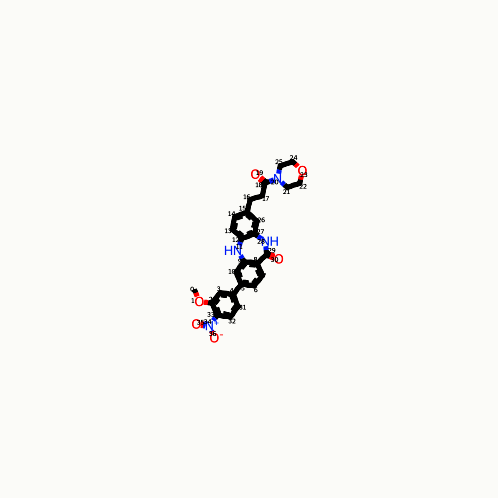 COc1cc(-c2ccc3c(c2)Nc2ccc(CCC(=O)N4CCOCC4)cc2NC3=O)ccc1[N+](=O)[O-]